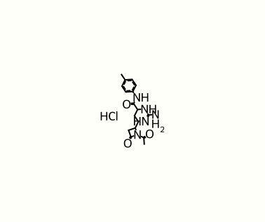 CC(=O)N1C(=O)CC1CCC(NC(=N)N)C(=O)Nc1ccc(C)cc1.Cl